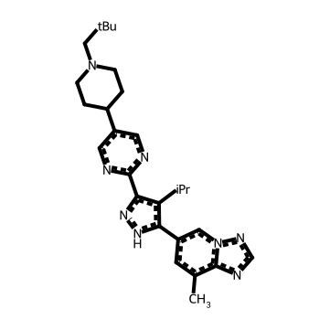 Cc1cc(-c2[nH]nc(-c3ncc(C4CCN(CC(C)(C)C)CC4)cn3)c2C(C)C)cn2ncnc12